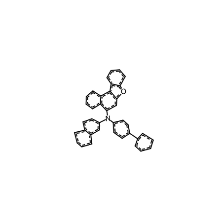 c1ccc(-c2ccc(N(c3ccc4ccccc4c3)c3cc4oc5ccccc5c4c4ccccc34)cc2)cc1